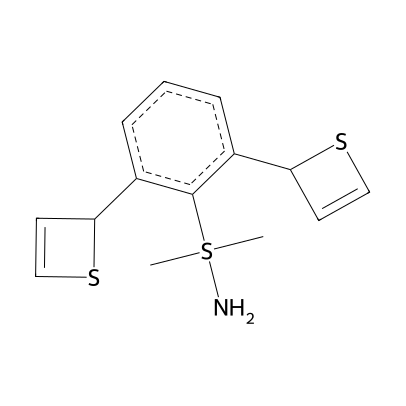 CS(C)(N)c1c(C2C=CS2)cccc1C1C=CS1